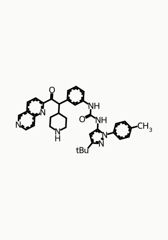 Cc1ccc(-n2nc(C(C)(C)C)cc2NC(=O)Nc2cccc(C(C(=O)c3ccc4cnccc4n3)C3CCNCC3)c2)cc1